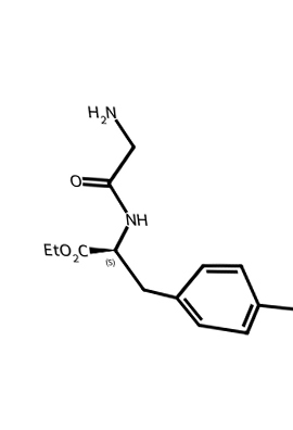 CCOC(=O)[C@H](Cc1ccc(O)cc1)NC(=O)CN